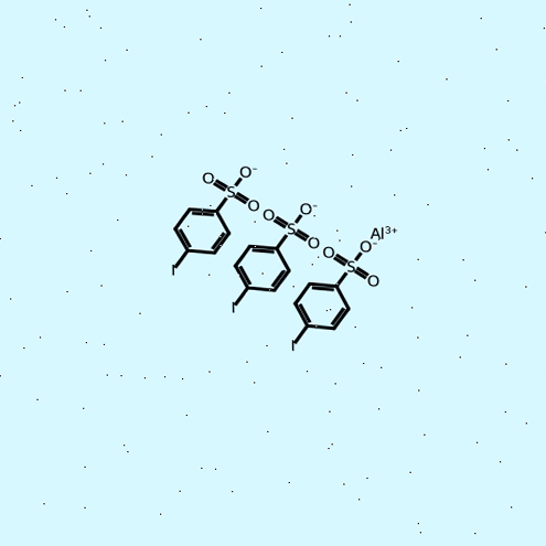 O=S(=O)([O-])c1ccc(I)cc1.O=S(=O)([O-])c1ccc(I)cc1.O=S(=O)([O-])c1ccc(I)cc1.[Al+3]